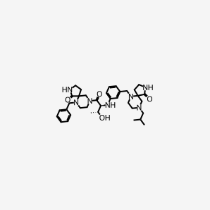 CC(C)CN1CCN(Cc2cccc(N[C@H](C(=O)N3CCN(Cc4ccccc4)C4(CCNC4=O)C3)[C@@H](C)O)c2)C2(CCNC2=O)C1